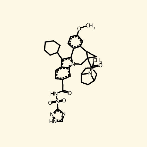 COc1ccc2c(c1)C1CC1(C(=O)N1C3CCC1CN(C)C3)Cn1c-2c(C2CCCCC2)c2ccc(C(=O)NS(=O)(=O)c3nc[nH]n3)cc21